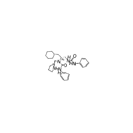 O=C(NC[C@@H](CC1CCCCC1)N(C[C@@H]1CCCN1)C(=O)Nc1ccccc1)Nc1ccccc1